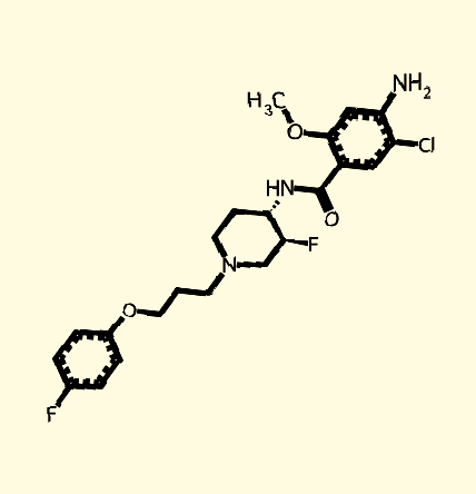 COc1cc(N)c(Cl)cc1C(=O)N[C@H]1CCN(CCCOc2ccc(F)cc2)C[C@@H]1F